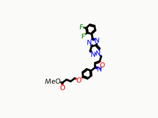 COC(=O)CCCOc1ccc(-c2cc(Cn3cc4nc(-c5cccc(F)c5F)nc-4cn3)on2)cc1